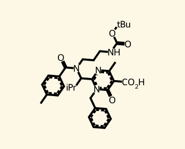 Cc1ccc(C(=O)N(CCCNC(=O)OC(C)(C)C)C(c2nc(C)c(C(=O)O)c(=O)n2Cc2ccccc2)C(C)C)cc1